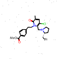 COC(=O)c1ccc(CCn2c(CN3CCC[C@@H]3CC(C)C)c(Cl)cc(C)c2=O)cc1